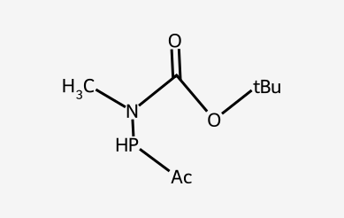 CC(=O)PN(C)C(=O)OC(C)(C)C